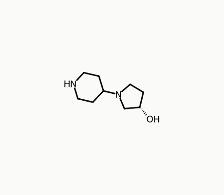 O[C@H]1CCN(C2CCNCC2)C1